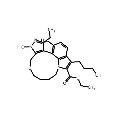 CCOC(=O)c1c(CCCO)c2ccc(C)c3c2n1CCCCOCc1c-3c(CC)nn1C